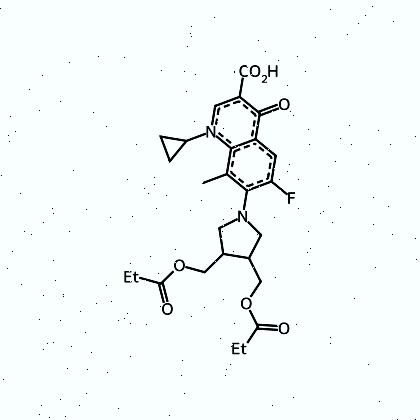 CCC(=O)OCC1CN(c2c(F)cc3c(=O)c(C(=O)O)cn(C4CC4)c3c2C)CC1COC(=O)CC